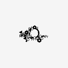 C=C[C@@H]1C[C@]1(NC(=O)[C@@H]1C[C@@H]2CN1C(=O)[C@H](C1CCCC1)NC(=O)O[C@@H]1CCC[C@H]1CCC=CCc1c(nc3ccccc3c1OC(=O)CC(C)C)O2)C(=O)NS(=O)(=O)C1CC1